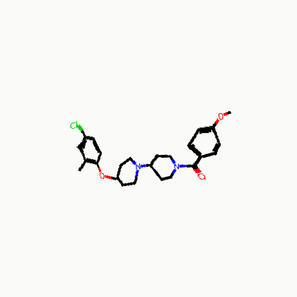 COc1ccc(C(=O)N2CCC(N3CCC(Oc4ccc(Cl)cc4C)CC3)CC2)cc1